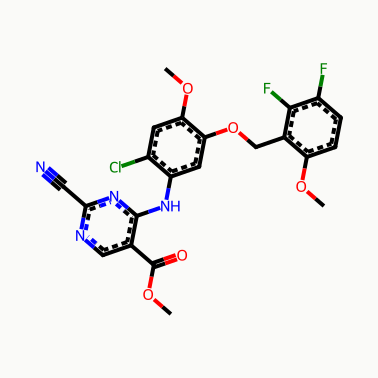 COC(=O)c1cnc(C#N)nc1Nc1cc(OCc2c(OC)ccc(F)c2F)c(OC)cc1Cl